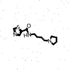 O=C(NCCCCN1CCCC1)c1cncs1